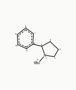 CC(C)(C)N1CCCC1c1ccccc1